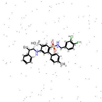 CCC(CNc1cc(-c2ccc(C)cc2)c(S(=O)(=O)NCc2ccc(F)c(Cl)c2)cc1C(=O)O)c1ccccc1